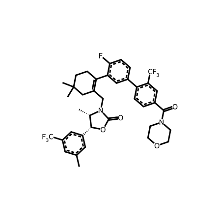 Cc1cc([C@H]2OC(=O)N(CC3=C(c4cc(-c5ccc(C(=O)N6CCOCC6)cc5C(F)(F)F)ccc4F)CCC(C)(C)C3)[C@H]2C)cc(C(F)(F)F)c1